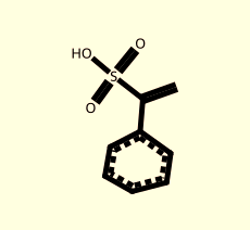 C=C(c1ccccc1)S(=O)(=O)O